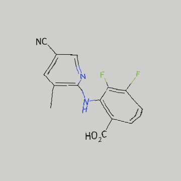 Cc1cc(C#N)cnc1Nc1c(C(=O)O)ccc(F)c1F